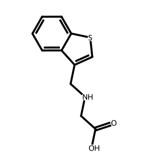 O=C(O)CNCc1csc2ccccc12